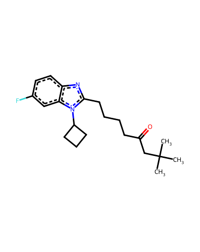 CC(C)(C)CC(=O)CCCCc1nc2ccc(F)cc2n1C1CCC1